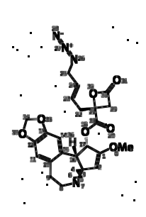 COC1=C[C@]23CCCN2CCc2cc4c(cc2[C@@H]3[C@@H]1OC(=O)[C@@]1(C/C=C/CN=[N+]=[N-])CC(=O)O1)OCO4